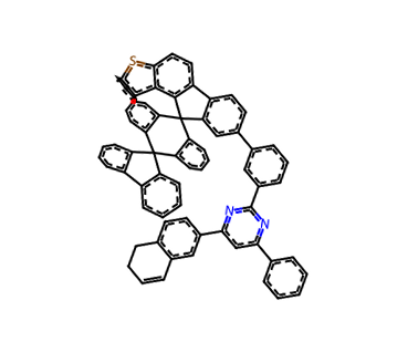 C1=Cc2cc(-c3cc(-c4ccccc4)nc(-c4cccc(-c5ccc6c(c5)C5(c7ccccc7C7(c8ccccc8-c8ccccc87)c7ccccc75)c5c-6ccc6sc7ccccc7c56)c4)n3)ccc2CC1